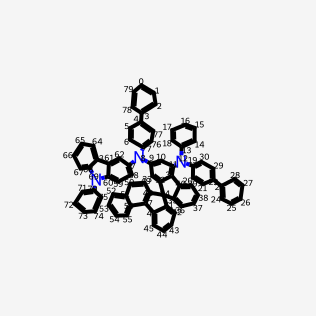 c1ccc(-c2ccc(N(c3cc(N(c4ccccc4)c4ccc(-c5ccccc5)cc4)c4c(c3)C3(c5ccccc5-4)c4ccccc4-c4c3ccc3ccccc43)c3ccc4c(c3)c3ccccc3n4-c3ccccc3)cc2)cc1